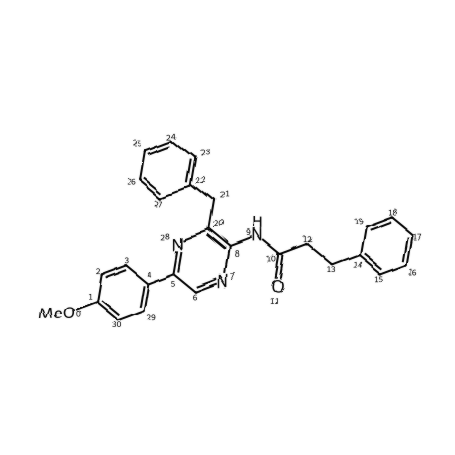 COc1ccc(-c2cnc(NC(=O)CCc3ccccc3)c(Cc3ccccc3)n2)cc1